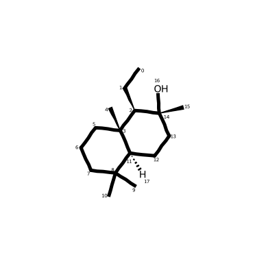 CC[C@@H]1[C@@]2(C)CCCC(C)(C)[C@@H]2CC[C@@]1(C)O